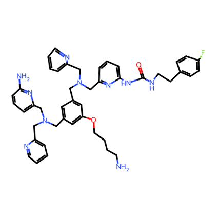 NCCCCOc1cc(CN(Cc2ccccn2)Cc2cccc(N)n2)cc(CN(Cc2ccccn2)Cc2cccc(NC(=O)NCCc3ccc(F)cc3)n2)c1